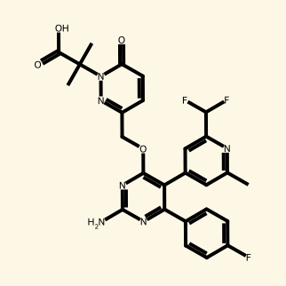 Cc1cc(-c2c(OCc3ccc(=O)n(C(C)(C)C(=O)O)n3)nc(N)nc2-c2ccc(F)cc2)cc(C(F)F)n1